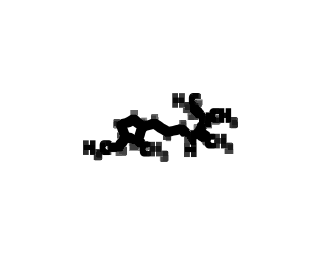 C=C(NCCCC1CCC(CC)C1C)N(C)CC